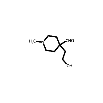 CN1CCC(C=O)(CCO)CC1